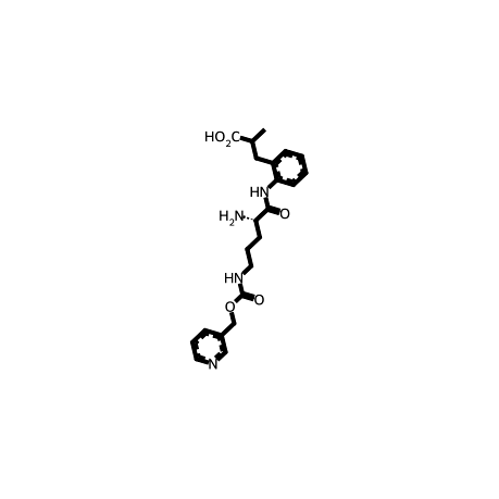 CC(Cc1ccccc1NC(=O)[C@@H](N)CCCNC(=O)OCc1cccnc1)C(=O)O